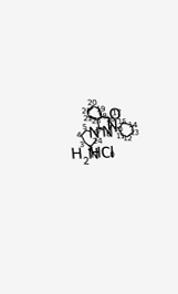 Cl.NC1CCCN(c2nn(C3CCCCC3)c(=O)c3ccccc23)C1